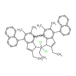 CCC1=Cc2c(-c3cccc4ccccc34)c(C)c(C)c(C)c2[CH]1[Zr]([Cl])([Cl])([CH2]C)[CH]1C(CC)=Cc2c(-c3cccc4ccccc34)c(C)c(C)c(C)c21